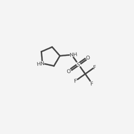 O=S(=O)(NC1CCNC1)C(F)(F)F